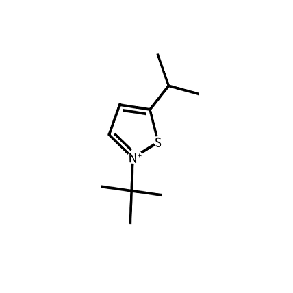 CC(C)c1cc[n+](C(C)(C)C)s1